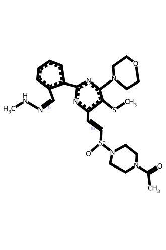 CN/N=C\c1ccccc1-c1nc(/C=C/[S+]([O-])N2CCN(C(C)=O)CC2)c(SC)c(N2CCOCC2)n1